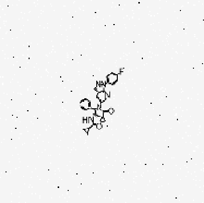 O=C(N[C@@H]1C(c2ccccc2)N(c2cnc3c(cnn3-c3ccc(F)cc3)c2)C(=O)C12CC2)C1CC1